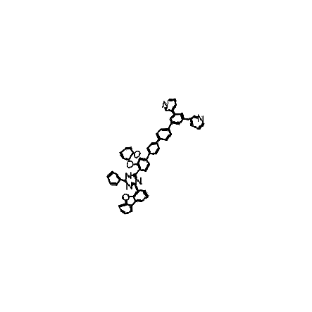 C1=CC2Oc3c(-c4ccc(-c5ccc(-c6cc(-c7cccnc7)cc(-c7cccnc7)c6)cc5)cc4)ccc(-c4nc(-c5ccccc5)nc(-c5cccc6c5oc5ccccc56)n4)c3OC2C=C1